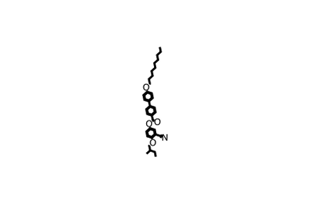 CCCCCCCCCCOc1ccc(-c2ccc(C(=O)Oc3ccc(OCC(C)CC)c(C#N)c3)cc2)cc1